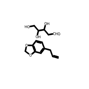 C=CCc1ccc2c(c1)OCO2.O=CCC(O)C(O)CO